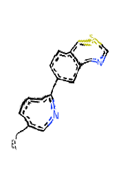 CCc1ccc(-c2ccc3scnc3c2)nc1